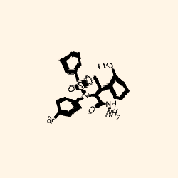 CC(=C(C(=O)NN)N(c1ccc(Br)cc1)S(=O)(=O)c1ccccc1)c1ccccc1O